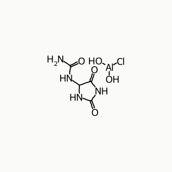 NC(=O)NC1NC(=O)NC1=O.[OH][Al]([OH])[Cl]